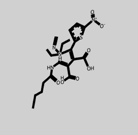 C=N[SH]1(CC)(CC)C(NC(=O)CCCC)=C(C(=O)O)C(C(=O)O)=C1c1ccc([N+](=O)[O-])s1